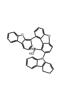 OB(O)c1c(-n2c3c(c4ccccc42)CCC=C3)ccc2oc3cccc(-c4cccc5c4oc4ccccc45)c3c12